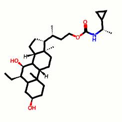 CC[C@@H]1C2C[C@H](O)CCC2(C)[C@H]2CC[C@]3(C)[C@@H]([C@H](C)CCOC(=O)N[C@@H](C)C4CC4)CC[C@H]3C2[C@@H]1O